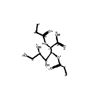 CCC(=O)O[C@@H]([C@H](O)[C@H](O)CO)[C@@H](OC(=O)CC)C(=O)O